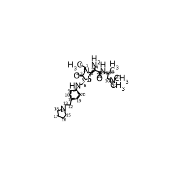 CCN1C(=O)[C@@H](CNc2ccc(CCN3CCCC3)cc2)S/C1=C(/N)C(=O)NC(C)CN(C)C